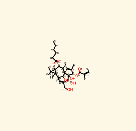 C/C=C(/C)C(=O)O[C@H]1C(C)=C[C@]23C(O)[C@@H](C=C(CO)[C@@H](O)[C@]12O)[C@@H]1C(C)(C)[C@]1(OC(=O)CCCCC)C[C@H]3C